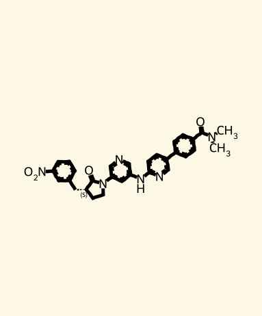 CN(C)C(=O)c1ccc(-c2ccc(Nc3cncc(N4CC[C@H](Cc5cccc([N+](=O)[O-])c5)C4=O)c3)nc2)cc1